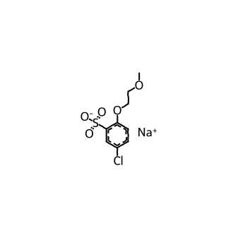 COCCOc1ccc(Cl)cc1S(=O)(=O)[O-].[Na+]